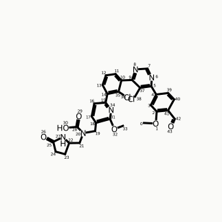 COc1cc(-c2ncnc(-c3cccc(-c4ccc(CN(CC5CCC(=O)N5)C(=O)O)c(OC)n4)c3Cl)c2Cl)ccc1C=O